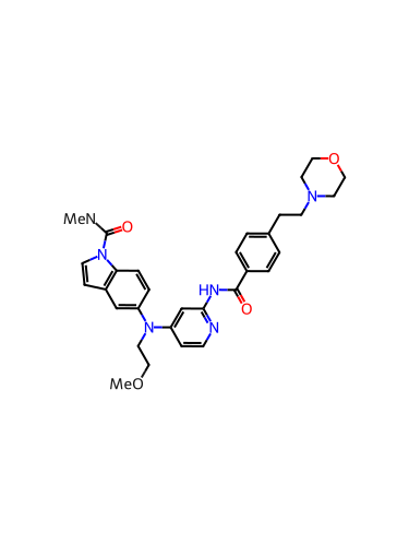 CNC(=O)n1ccc2cc(N(CCOC)c3ccnc(NC(=O)c4ccc(CCN5CCOCC5)cc4)c3)ccc21